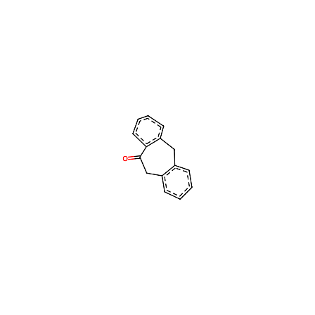 O=C1Cc2ccccc2Cc2ccccc21